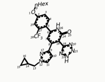 CCCCCCOc1ccc(-c2cc(-c3ccn(CC4CC4)n3)c(-c3nn[nH]n3)c(=O)[nH]2)c(C(F)(F)F)c1